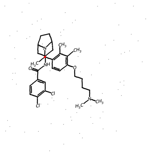 Cc1c(OCCCCN(C)C)ccc(C(C)N2C3CCC2CC(NC(=O)c2ccc(Cl)c(Cl)c2)C3)c1C